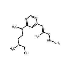 CNO/C(C)=C/c1cc(N(C)CCN(C)CO)ncn1